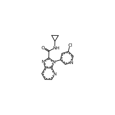 O=C(NC1CC1)c1nc2cccnc2n1-c1cncc(Cl)c1